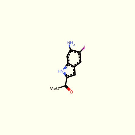 COC(=O)c1cc2cc(I)c(N)cc2[nH]1